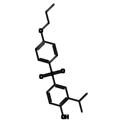 CCCOc1ccc(S(=O)(=O)c2ccc(O)c(C(C)C)c2)cc1